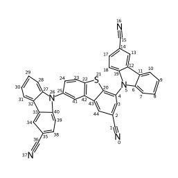 N#Cc1cc(-n2c3ccccc3c3cc(C#N)ccc32)c2sc3ccc(-n4c5ccccc5c5cc(C#N)ccc54)cc3c2c1